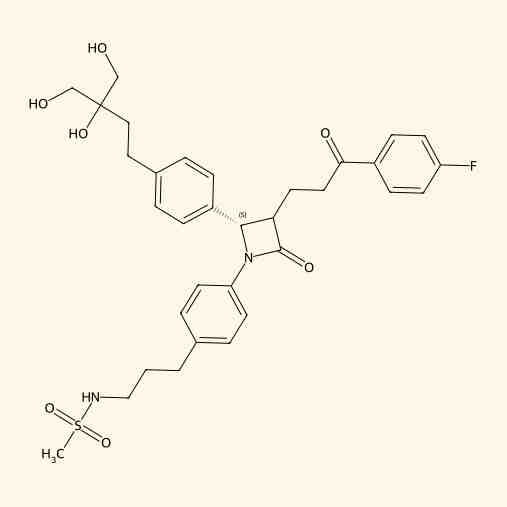 CS(=O)(=O)NCCCc1ccc(N2C(=O)C(CCC(=O)c3ccc(F)cc3)[C@H]2c2ccc(CCC(O)(CO)CO)cc2)cc1